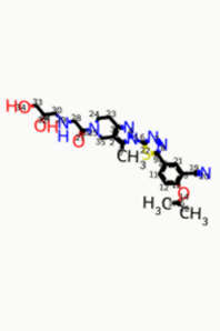 Cc1c2c(nn1-c1nnc(-c3ccc(OC(C)C)c(C#N)c3)s1)CCN(C(=O)CNC[C@H](O)CO)C2